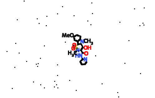 COc1ccc2c(c1)c1c(n2C)C(O)=C(C(=O)Nc2ccccn2)N(C)S1(=O)=O